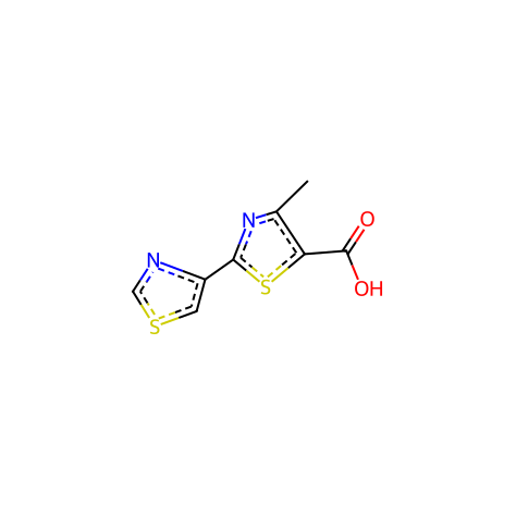 Cc1nc(-c2cscn2)sc1C(=O)O